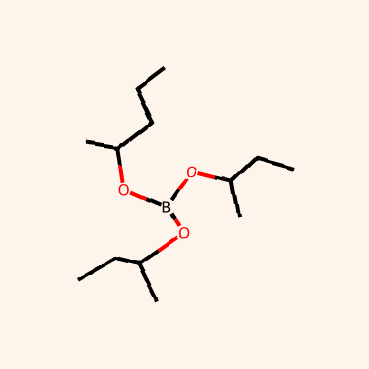 CCCC(C)OB(OC(C)CC)OC(C)CC